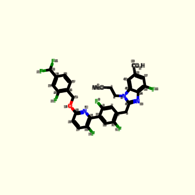 COCCn1c(Cc2cc(F)c(-c3nc(OCc4ccc(C(F)F)cc4F)ccc3F)cc2F)nc2c(F)cc(C(=O)O)cc21